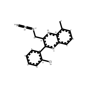 Cc1cccc2nc(-c3ccccc3Cl)c(CN=[N+]=[N-])nc12